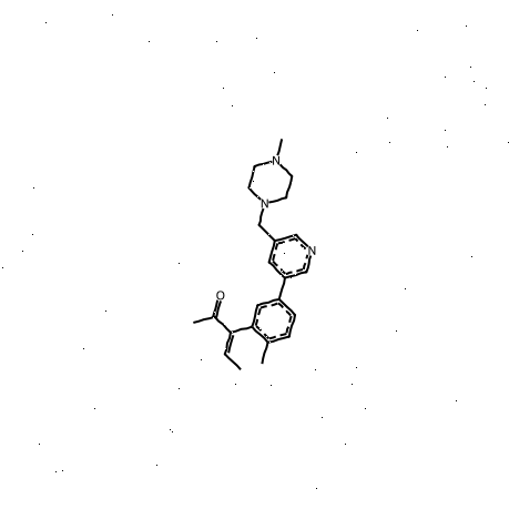 C/C=C(/C(C)=O)c1cc(-c2cncc(CN3CCN(C)CC3)c2)ccc1C